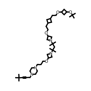 CC(C)(C)C#CCN1CCN(CCCOC2CN(C(C)(C)CC(C)(C)N3CC(OCCC4CC(CCOC5CC(OC(C)(C)C)C5)C4)C3)C2)CC1